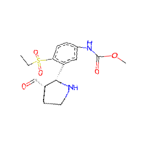 CCS(=O)(=O)c1ccc(NC(=O)OC)cc1[C@@H]1NCC[C@@H]1C=O